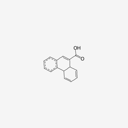 O=C(O)C1=Cc2ccccc2C2C=CC=CC12